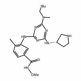 CONC(=O)c1ccc(C)c(Nc2nc(N[C@H]3CCNC3)nc(N(C)CC(C)(C)C)n2)c1